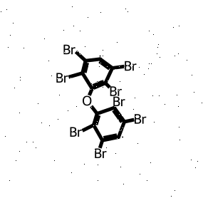 Brc1[c]c(Br)c(Br)c(Oc2c(Br)c(Br)[c]c(Br)c2Br)c1Br